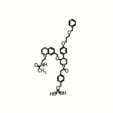 CC(=O)NCCN1CCCc2ccc(COC3CN(C(=O)Cc4ccc(CON(O)O)cc4)CCC3c3ccc(OCCCOCc4ccccc4)cc3)cc21